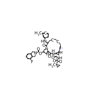 Cc1cccc(N[C@H]2CCCCC/C=C\[C@@H]3C[C@@]3(C(=O)NS(=O)(=O)C3(C)CC3)NC(=O)[C@@H]3C[C@@H](OC(=O)N4Cc5cccc(F)c5C4)CN3C2=O)c1